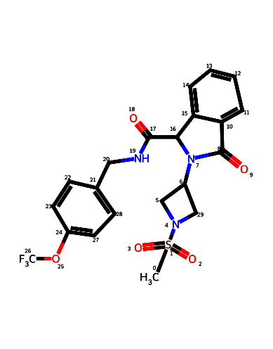 CS(=O)(=O)N1CC(N2C(=O)c3ccccc3C2C(=O)NCc2ccc(OC(F)(F)F)cc2)C1